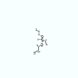 C=CCO[Si](C)(C=C)OCC=C